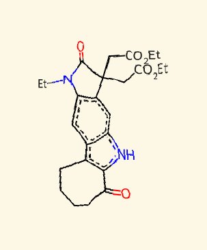 CCOC(=O)CC1(CC(=O)OCC)C(=O)N(CC)c2cc3c4c([nH]c3cc21)C(=O)CCCC4